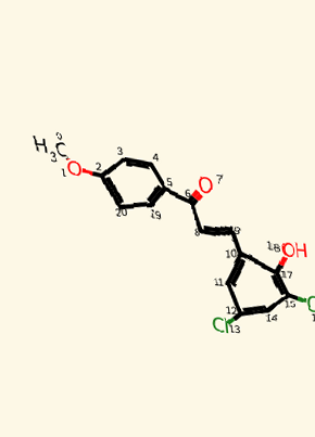 COc1ccc(C(=O)C=Cc2cc(Cl)cc(Cl)c2O)cc1